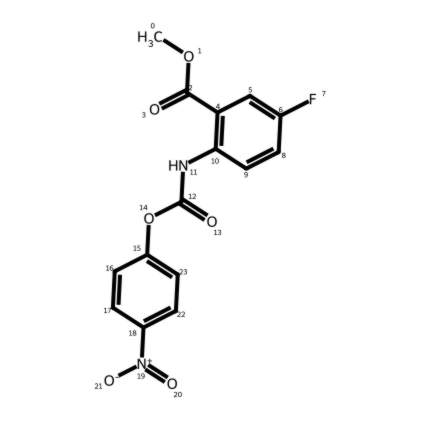 COC(=O)c1cc(F)ccc1NC(=O)Oc1ccc([N+](=O)[O-])cc1